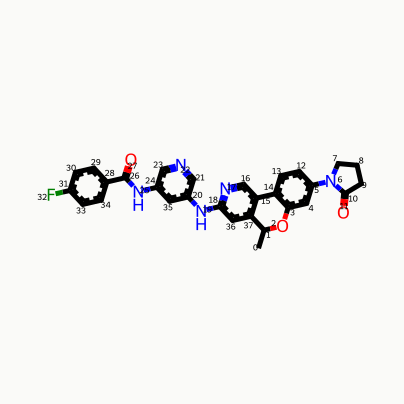 CC1Oc2cc(N3CCCC3=O)ccc2-c2cnc(Nc3cncc(NC(=O)c4ccc(F)cc4)c3)cc21